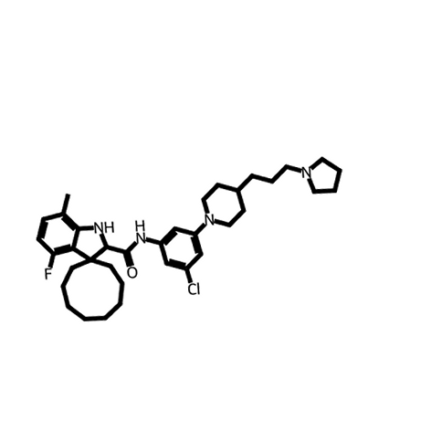 Cc1ccc(F)c2c1NC(C(=O)Nc1cc(Cl)cc(N3CCC(CCCN4CCCC4)CC3)c1)C21CCCCCCCC1